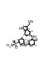 N#CCc1c[nH]c2ccc(Nc3nc(Nc4cccc(S(N)(=O)=O)c4)ncc3F)cc12